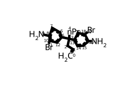 C=CCC(CCC)(c1ccc(N)c(Br)c1)c1ccc(N)c(Br)c1